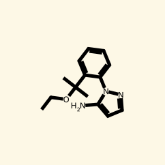 CCOC(C)(C)c1ccccc1-n1nccc1N